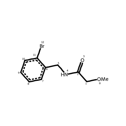 COCC(=O)NCc1ccccc1Br